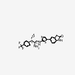 COC[C@@H](c1ccc(C(F)(F)F)cc1)[C@H](N)CNc1ncc(-c2ccc3c(c2)CC(=O)N3)s1